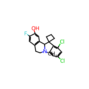 CN1CCc2cc(F)c(O)cc2C1C1(c2ccc(Cl)cc2Cl)CCC1